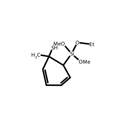 CCO[Si](OC)(OC)C1C=CC=CC1(C)S